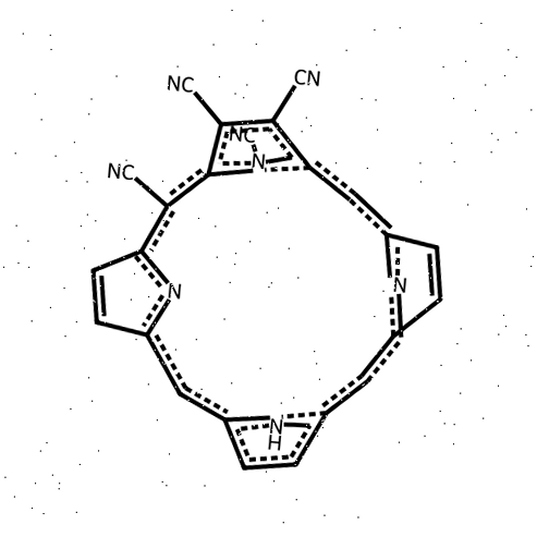 N#Cc1c(C#N)c2c(C#N)c3nc(cc4ccc(cc5nc(cc1n2C#N)C=C5)[nH]4)C=C3